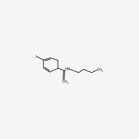 C=C(NCCCC)C1C=CC(I)=CC1